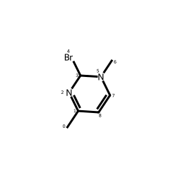 CC1=NC(Br)N(C)C=C1